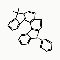 CC1(C)c2ccccc2-c2c1ccc1ccc3c(c4ccccc4n3-c3ccccc3)c21